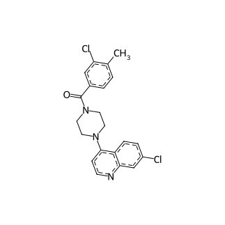 Cc1ccc(C(=O)N2CCN(c3ccnc4cc(Cl)ccc34)CC2)cc1Cl